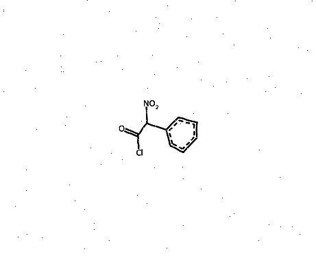 O=C(Cl)C(c1ccccc1)[N+](=O)[O-]